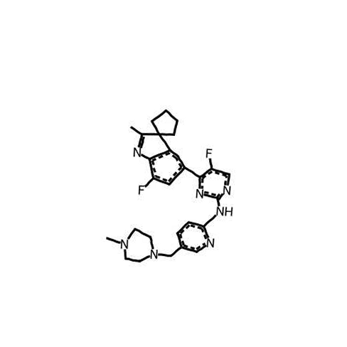 CC1=Nc2c(F)cc(-c3nc(Nc4ccc(CN5CCN(C)CC5)cn4)ncc3F)cc2C12CCCC2